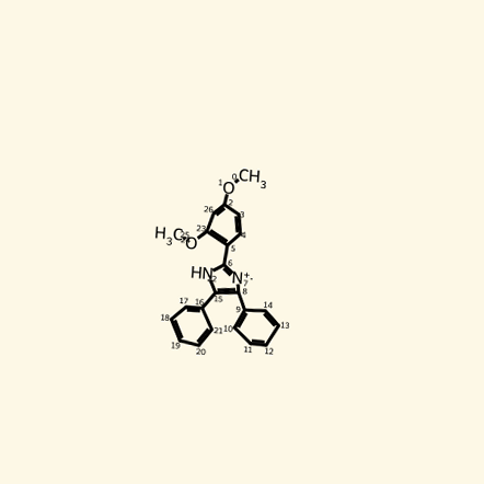 COc1ccc(C2=[N+]C(c3ccccc3)=C(c3ccccc3)N2)c(OC)c1